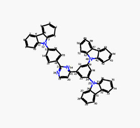 c1ccc2c(c1)c1ccccc1n2-c1ccc(-c2nccc(-c3cc(-n4c5ccccc5c5ccccc54)cc(-n4c5ccccc5c5ccccc54)c3)n2)cc1